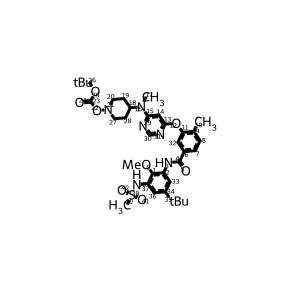 COc1c(NC(=O)c2ccc(C)c(Oc3cc(N(C)C4CCN(OC(=O)OC(C)(C)C)CC4)ncn3)c2)cc(C(C)(C)C)cc1NS(C)(=O)=O